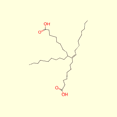 CCCCCCCC/C=C(/CCCCCCCC(=O)O)C(CCCCCCCCC)CCCCCCCC(=O)O